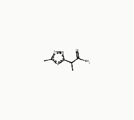 C[C](C(N)=O)c1noc(C)n1